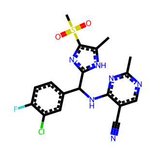 Cc1ncc(C#N)c(NC(c2ccc(F)c(Cl)c2)c2nc(S(C)(=O)=O)c(C)[nH]2)n1